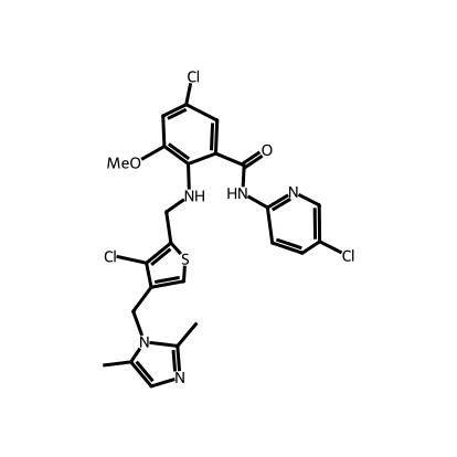 COc1cc(Cl)cc(C(=O)Nc2ccc(Cl)cn2)c1NCc1scc(Cn2c(C)cnc2C)c1Cl